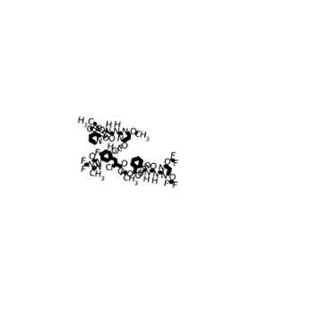 CCOC(=O)C(Cl)Cc1cc(-n2nc(C)n(C(F)F)c2=O)c(F)cc1Cl.CCS(=O)(=O)c1cccnc1S(=O)(=O)NC(=O)Nc1nc(OC)cc(OC)n1.O=C(Nc1nc(OC(F)F)cc(OC(F)F)n1)NS(=O)(=O)c1ccccc1C(=O)O